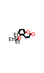 CC[Si](CC)(CC)Oc1cccc2oc(=O)ccc12